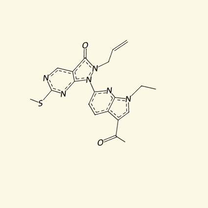 C=CCn1c(=O)c2cnc(SC)nc2n1-c1ccc2c(C(C)=O)cn(CC)c2n1